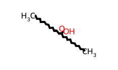 CCCCCCCCCCC=CC=C(CCCCCCCCCCC)C(=O)O